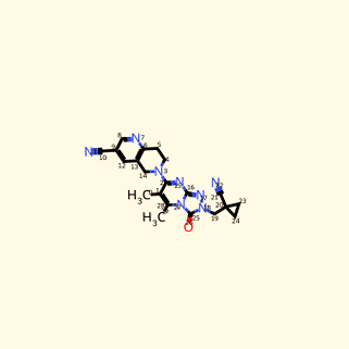 Cc1c(N2CCc3ncc(C#N)cc3C2)nc2nn(CC3(C#N)CC3)c(=O)n2c1C